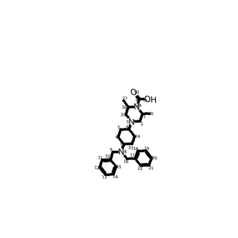 CC1CN(C2CCC(N(Cc3ccccc3)Cc3ccccc3)CC2)CC(C)N1C(=O)O